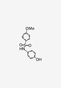 COc1ccc(S(=O)(=O)Nc2ccc(O)cc2)cc1